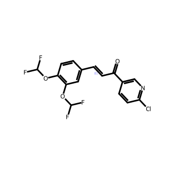 O=C(/C=C/c1ccc(OC(F)F)c(OC(F)F)c1)c1ccc(Cl)nc1